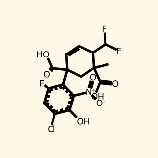 CC1(C(=O)O)CC(C(=O)O)(c2c(F)cc(Cl)c(O)c2[N+](=O)[O-])C=CC1C(F)F